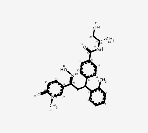 Cc1ccccc1C(CC(=NO)c1ccc(=O)n(C)c1)c1ccc(C(=O)N[C@@H](C)CO)cc1